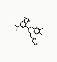 Cc1ccc(CC(CCCNCO)c2cc(C(F)F)nc3ncnn23)nc1C